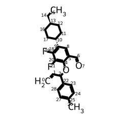 C=CC(Oc1c(C=O)cc([C@H]2CC[C@H](CC)CC2)c(F)c1F)c1ccc(C)cc1